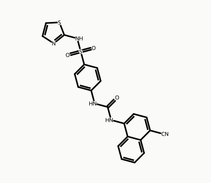 N#Cc1ccc(NC(=O)Nc2ccc(S(=O)(=O)Nc3nccs3)cc2)c2ccccc12